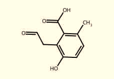 Cc1ccc(O)c(CC=O)c1C(=O)O